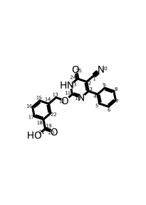 N#Cc1c(-c2ccccc2)nc(OCc2cccc(C(=O)O)c2)[nH]c1=O